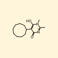 Cc1nc(=O)c(C2CCCCCCCC2)c(O)n1C